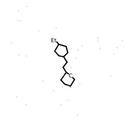 CCC1CCC(CCC2CC[CH]CC2)CC1